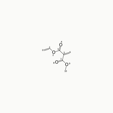 C=COC(=O)C(=C)C(=O)OC